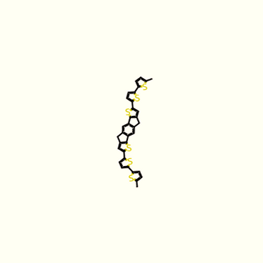 Cc1ccc(-c2ccc(-c3cc4c(s3)-c3cc5c(cc3C4)-c3sc(-c4ccc(-c6ccc(C)s6)s4)cc3C5)s2)s1